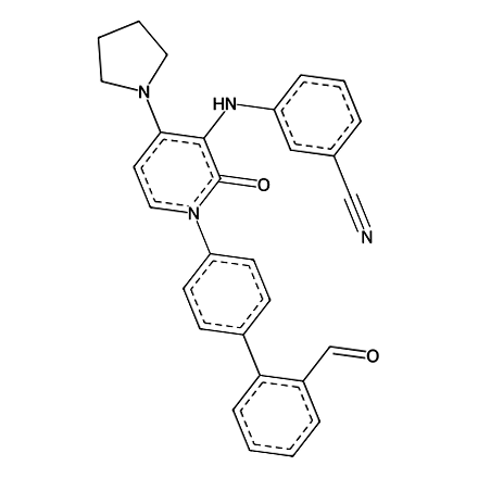 N#Cc1cccc(Nc2c(N3CCCC3)ccn(-c3ccc(-c4ccccc4C=O)cc3)c2=O)c1